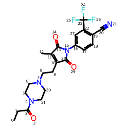 CCC(=O)N1CCN(CCC2=C(C)C(=O)N(c3ccc(C#N)c(C(F)(F)F)c3)C2=O)CC1